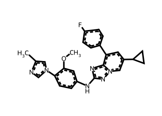 COc1cc(Nc2nc3c(-c4ccc(F)cc4)cc(C4CC4)cn3n2)ccc1-n1cnc(C)c1